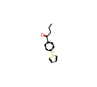 CCCC(=O)c1ccc([SH]2C=CC=C2)cc1